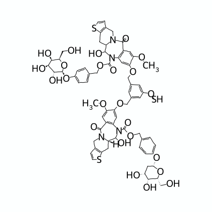 COc1cc2c(cc1OCc1cc(COc3cc4c(cc3OC)C(=O)N3Cc5ccsc5C[C@H]3C(O)N4C(=O)OCc3ccc(O[C@H]4C[C@@H](O)[C@@H](O)[C@@H](CO)O4)cc3)cc(OS)c1)N(C(=O)OCc1ccc(O[C@@H]3O[C@H](CO)[C@H](O)[C@H](O)[C@H]3O)cc1)C(O)C1Cc3sccc3CN1C2=O